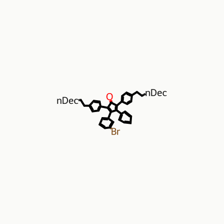 CCCCCCCCCCCCc1ccc(C2=C(c3ccccc3)C(c3cccc(Br)c3)=C(c3ccc(CCCCCCCCCCCC)cc3)C2=O)cc1